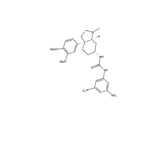 COc1ccc([C@@]23CC[C@@H](NC(=O)Nc4cc([N+](=O)[O-])cc([N+](=O)[O-])c4)C[C@@H]2N(C)CC3)cc1OC